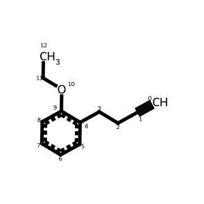 C#CCCc1ccccc1OCC